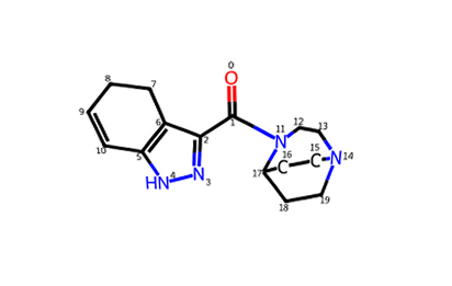 O=C(c1n[nH]c2c1CCC=C2)N1CCN2CCC1CC2